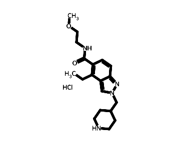 CCc1c(C(=O)NCCOC)ccc2nn(CC3CCNCC3)cc12.Cl